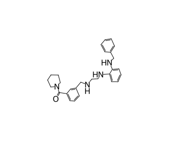 O=C(c1cccc(CNCCNc2ccccc2NCc2ccccc2)c1)N1CCCCC1